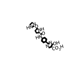 C1=NCCN1.O=C1CC[C@@H](C(=O)Nc2ccc(-c3ncc(C(=O)O)c(O)n3)cc2)N1